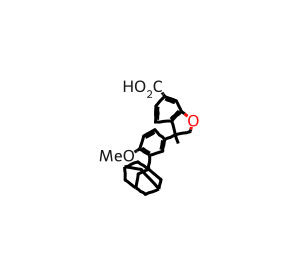 COc1ccc(C2(C)COc3cc(C(=O)O)ccc32)cc1C12CC3CC(CC(C3)C1)C2